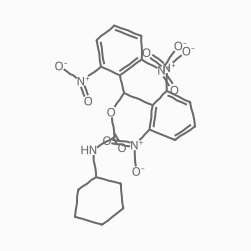 O=C(NC1CCCCC1)OC(c1c([N+](=O)[O-])cccc1[N+](=O)[O-])c1c([N+](=O)[O-])cccc1[N+](=O)[O-]